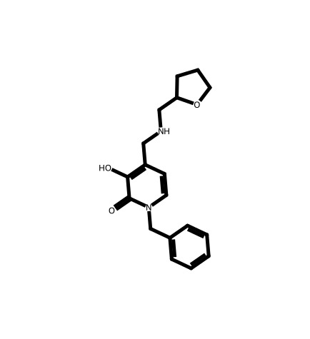 O=c1c(O)c(CNCC2CCCO2)ccn1Cc1ccccc1